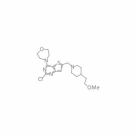 COCCC1CCN(Cc2cc3nc(Cl)nc(N4CCOCC4)c3s2)CC1